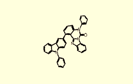 O=c1n(-c2ccccc2)c2cccc(-c3ccc4c(c3)c3ccccc3n4-c3ccccc3)c2c2nc3ccccc3n12